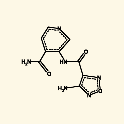 NC(=O)c1ccncc1NC(=O)c1nonc1N